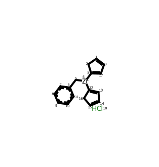 C1=CC[C]([Zr]([CH2]c2ccccc2)[C]2=CC=CC2)=C1.Cl